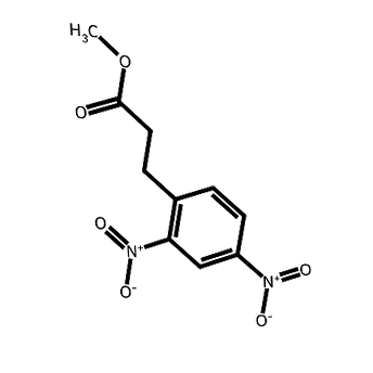 COC(=O)CCc1ccc([N+](=O)[O-])cc1[N+](=O)[O-]